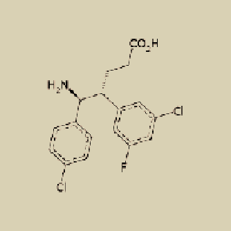 N[C@H](c1ccc(Cl)cc1)[C@H](CCC(=O)O)c1cc(F)cc(Cl)c1